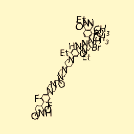 CCOc1cc(N2CCC(N3CCN(C(=O)CN4CCN(c5cc(F)c(C6CCC(=O)NC6=O)c(F)c5)CC4)CC3)CC2)c(CC)cc1Nc1ncc(Br)c(Nc2ccc3c(=O)n(CC)ncc3c2P(C)(C)=O)n1